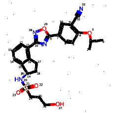 CC(C)Oc1ccc(-c2nc(-c3cccc4c3CC[C@H]4NS(=O)(=O)CCCO)no2)cc1C#N